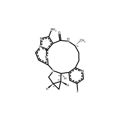 C[C@@H]1CCc2ncc(F)cc2[C@H]2[C@@H]3C[C@@H]3CN2c2ccn3nc(N)c(c3n2)C(=O)N1